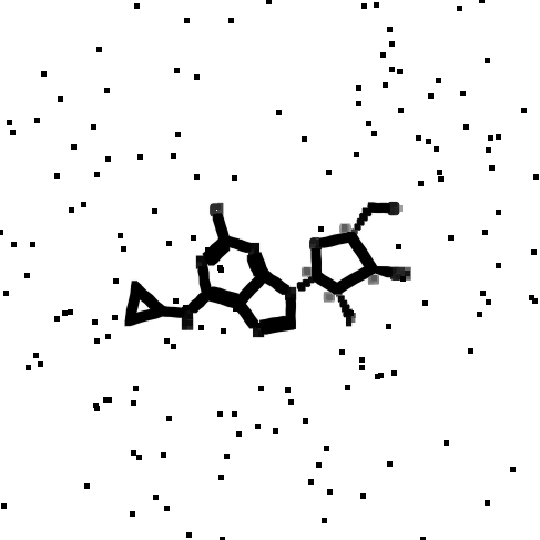 [O]C[C@H]1O[C@@H](n2cnc3c(NC4CC4)nc(Cl)nc32)[C@@H](F)[C@@H]1O